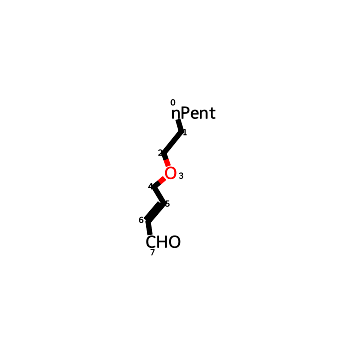 CCCCCCCOCC=CC=O